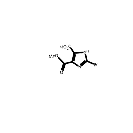 COC(=O)c1nc(Br)[nH]c1C(=O)O